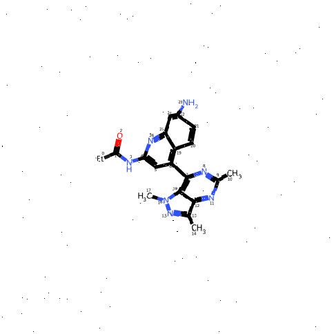 C[CH]C(=O)Nc1cc(-c2nc(C)nc3c(C)nn(C)c23)c2ccc(N)cc2n1